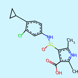 Cc1[nH]c(C)c([S+]([O-])Nc2ccc(C3CC3)c(Cl)c2)c1C(=O)O